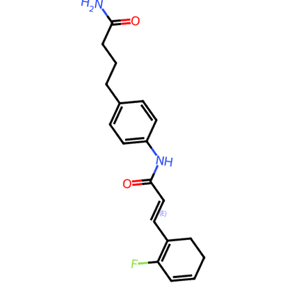 NC(=O)CCCc1ccc(NC(=O)/C=C/C2=C(F)C=CCC2)cc1